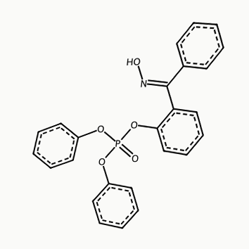 O=P(Oc1ccccc1)(Oc1ccccc1)Oc1ccccc1C(=NO)c1ccccc1